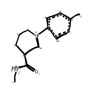 CNC(=O)C1CCCN(c2ccc(C)cc2)C1